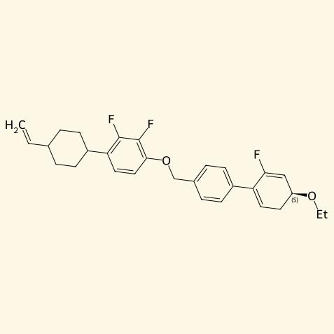 C=CC1CCC(c2ccc(OCc3ccc(C4=CC[C@H](OCC)C=C4F)cc3)c(F)c2F)CC1